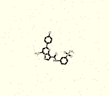 Cc1cc(-c2ccc(Cl)cc2)nc2c(C(=O)Nc3cccc(S(C)(=O)=O)c3)cnn12